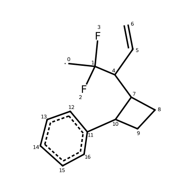 [CH2]C(F)(F)C(C=C)C1CCC1c1ccccc1